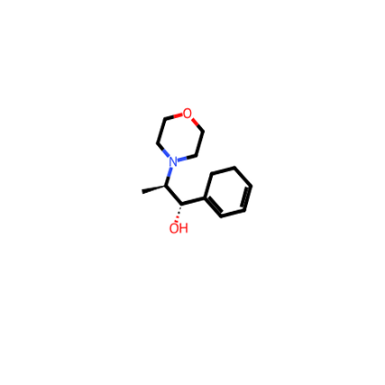 C[C@H]([C@@H](O)C1=CC=CCC1)N1CCOCC1